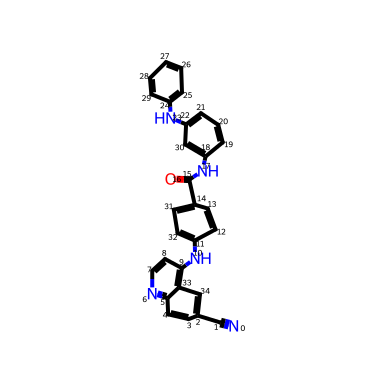 N#Cc1ccc2nccc(Nc3ccc(C(=O)Nc4cccc(Nc5ccccc5)c4)cc3)c2c1